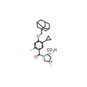 O=C(O)[C@@H]1C[C@@H](F)CN1C(=O)c1cc(C2CC2)c(OCC23CC4CC(CC(C4)C2)C3)cc1F